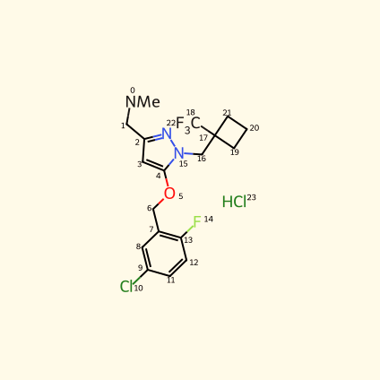 CNCc1cc(OCc2cc(Cl)ccc2F)n(CC2(C(F)(F)F)CCC2)n1.Cl